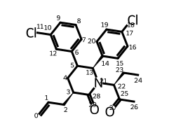 C=CC[C@H]1CC(c2cccc(Cl)c2)[C@@H](c2ccc(Cl)cc2)N([C@@H](CC)C(C)=O)C1=O